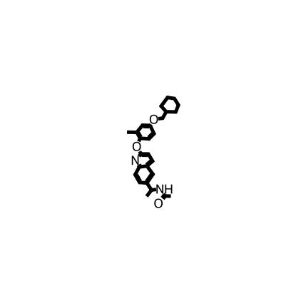 CC(=O)NC(C)c1ccc2nc(Oc3ccc(OCC4CCCCC4)cc3C)ccc2c1